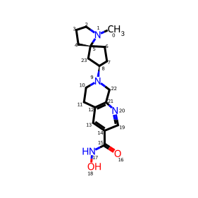 CN1CCC[C@]12CC[C@@H](N1CCc3cc(C(=O)NO)cnc3C1)C2